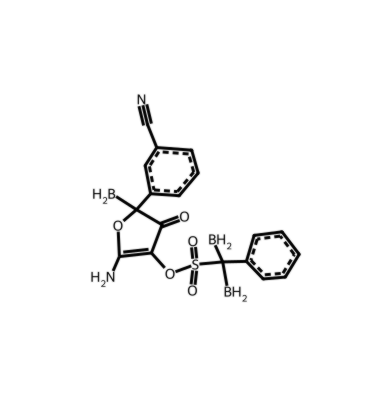 BC1(c2cccc(C#N)c2)OC(N)=C(OS(=O)(=O)C(B)(B)c2ccccc2)C1=O